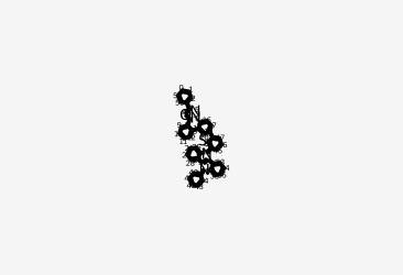 c1ccc(-c2nnc(-c3ccccc3-c3cccc4c3sc3c(-n5c6ccccc6c6c5c5ccccc5n6-c5ccccc5)cccc34)o2)cc1